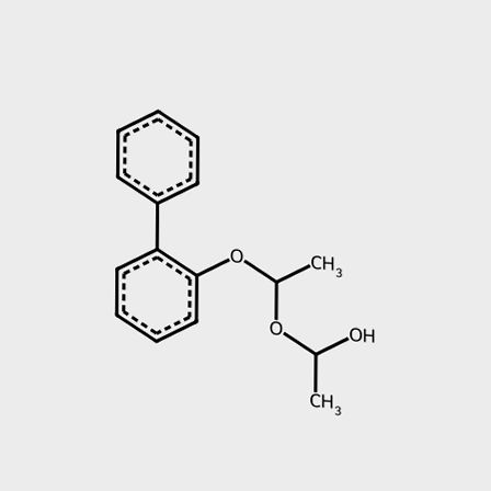 CC(O)OC(C)Oc1ccccc1-c1ccccc1